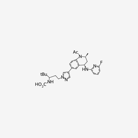 CC(=O)N1c2ccc(-c3cnn(CCC(NC(=O)O)C(C)(C)C)c3)cc2[C@H](Nc2cccc(F)n2)C[C@@H]1C